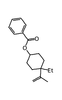 C=C(C)C1(CC)CCC(OC(=O)c2ccccc2)CC1